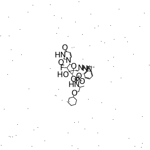 CC(COC1CCCCC1)NP(=O)(Oc1ccccc1)OC1[C@@]2(CN=[N+]=[N-])O[C@@H](n3ccc(=O)[nH]c3=O)[C@H](F)[C@@]12O